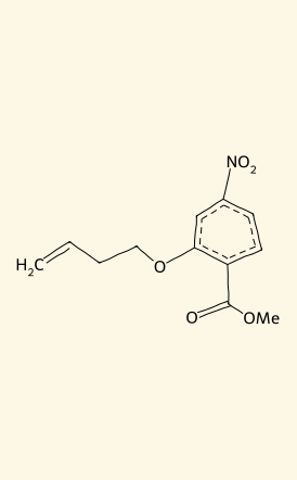 C=CCCOc1cc([N+](=O)[O-])ccc1C(=O)OC